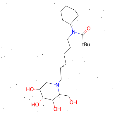 CC(C)(C)C(=O)N(CCCCCCN1CC(O)[C@@H](O)C(O)C1CO)C1CCCCC1